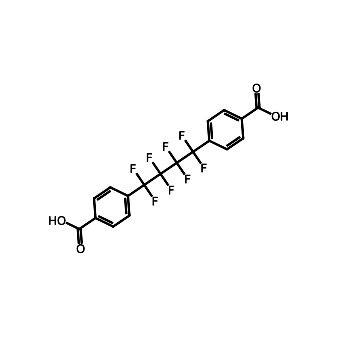 O=C(O)c1ccc(C(F)(F)C(F)(F)C(F)(F)C(F)(F)c2ccc(C(=O)O)cc2)cc1